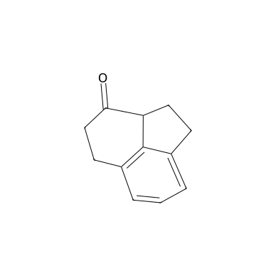 O=C1CCc2cccc3c2C1CC3